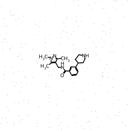 Cc1nn(C)c(C)c1CNC(=O)c1cccc(C2CCNCC2)c1